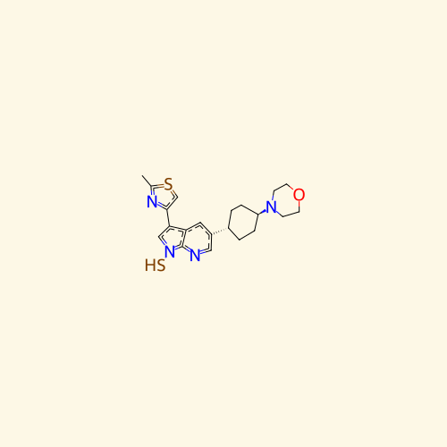 Cc1nc(-c2cn(S)c3ncc([C@H]4CC[C@H](N5CCOCC5)CC4)cc23)cs1